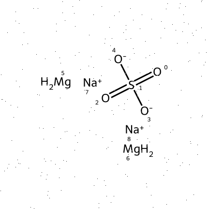 O=S(=O)([O-])[O-].[MgH2].[MgH2].[Na+].[Na+]